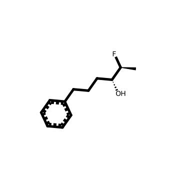 C[C@H](F)[C@H](O)CCCc1ccccc1